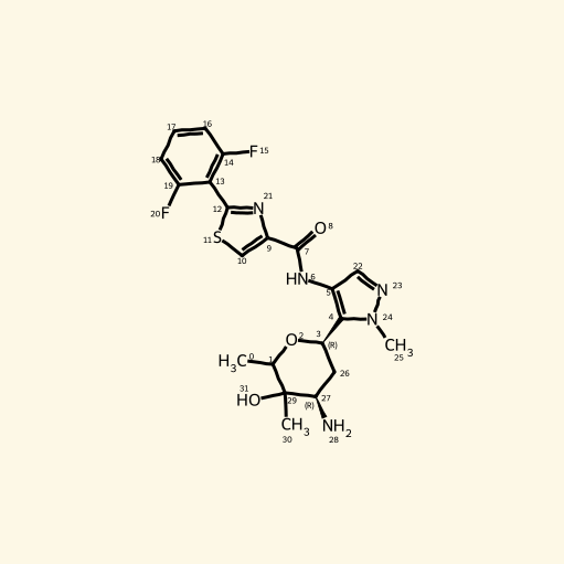 CC1O[C@@H](c2c(NC(=O)c3csc(-c4c(F)cccc4F)n3)cnn2C)C[C@@H](N)C1(C)O